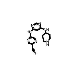 N#Cc1cnc(Nc2cc(NC3CCNCC3)ncn2)cn1